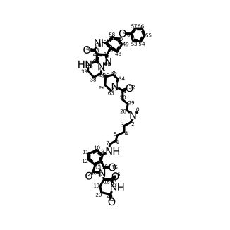 CN(CCCCCCNc1cccc2c1C(=O)N(C1CCC(=O)NC1=O)C2=O)CCCC(=O)N1CCC([C@@H]2CCNc3c(C(N)=O)c(-c4ccc(Oc5ccccc5)cc4)nn32)CC1